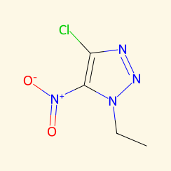 CCn1nnc(Cl)c1[N+](=O)[O-]